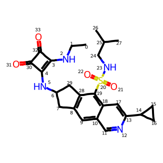 CCNc1c(NC2Cc3cc4cnc(C5CC5)cc4c(S(=O)(=O)NCC(C)C)c3C2)c(=O)c1=O